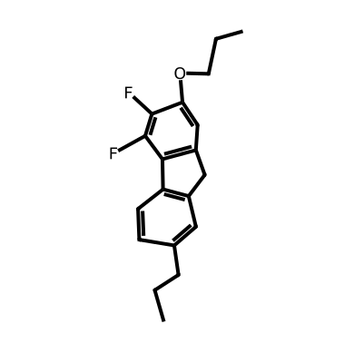 CCCOc1cc2c(c(F)c1F)-c1ccc(CCC)cc1C2